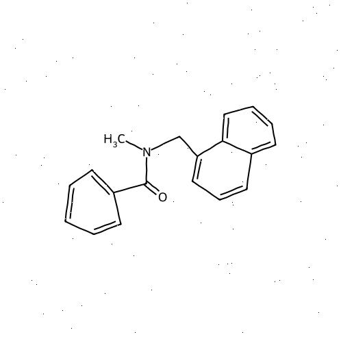 CN(Cc1cccc2ccccc12)C(=O)c1ccccc1